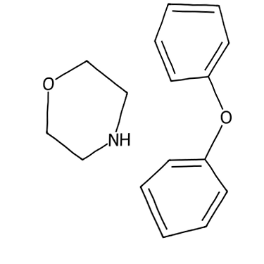 C1COCCN1.c1ccc(Oc2ccccc2)cc1